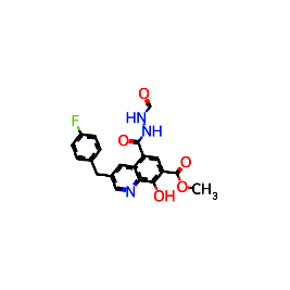 COC(=O)c1cc(C(=O)NNC=O)c2cc(Cc3ccc(F)cc3)cnc2c1O